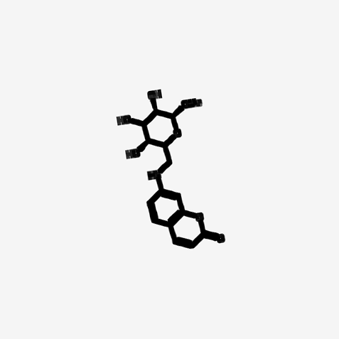 CO[C@H]1OC(CNc2ccc3ccc(=O)oc3c2)[C@@H](O)C(O)[C@H]1O